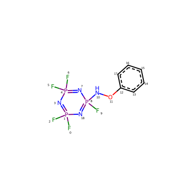 FP1(F)=NP(F)(F)=NP(F)(NOc2ccccc2)=N1